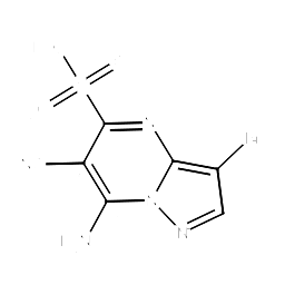 CS(=O)(=O)c1nc2c(Br)cnn2c(N)c1C#N